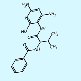 CC(C)C(NC(=O)c1ccccc1)C(=O)Nc1c(N)nc(N)nc1O